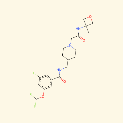 CC1(NC(=O)CN2CCC(CNC(=O)c3cc(F)cc(OC(F)F)c3)CC2)COC1